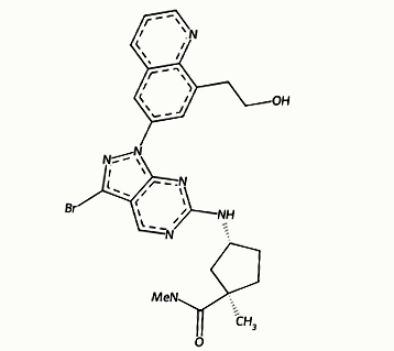 CNC(=O)[C@]1(C)CC[C@@H](Nc2ncc3c(Br)nn(-c4cc(CCO)c5ncccc5c4)c3n2)C1